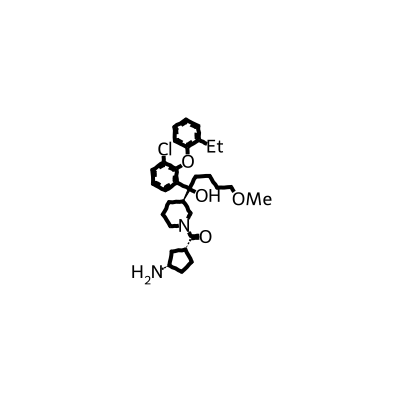 CCc1ccccc1Oc1c(Cl)cccc1C(O)(CCCCOC)[C@@H]1CCCN(C(=O)[C@@H]2CC[C@H](N)C2)C1